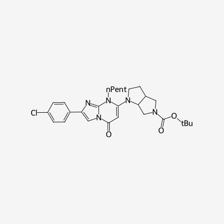 CCCCCn1c(N2CCC3CN(C(=O)OC(C)(C)C)CC32)cc(=O)n2cc(-c3ccc(Cl)cc3)nc12